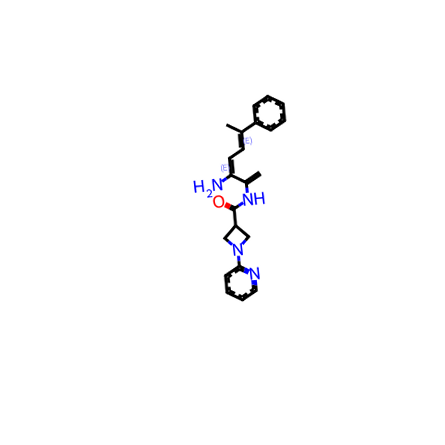 C=C(NC(=O)C1CN(c2ccccn2)C1)/C(N)=C\C=C(/C)c1ccccc1